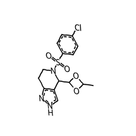 CC1OC(C2c3c[nH]nc3CCN2S(=O)(=O)c2ccc(Cl)cc2)O1